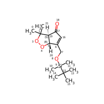 CC1(C)OO[C@H]2C(CO[Si](C)(C)C(C)(C)C)=CC(=O)[C@@H]21